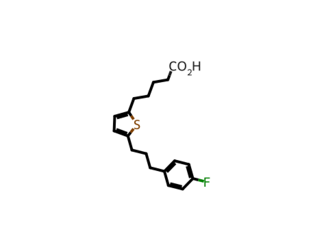 O=C(O)CCCCc1ccc(CCCc2ccc(F)cc2)s1